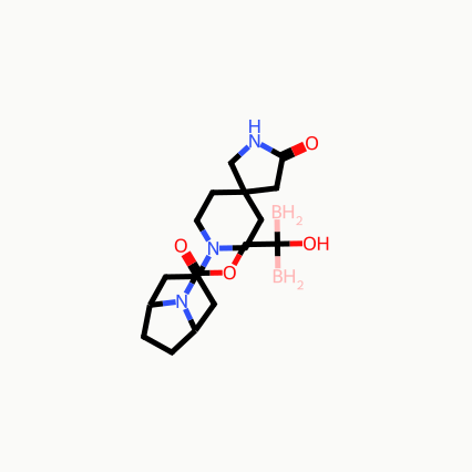 BC(B)(O)COC(=O)N1C2CCC1CC(N1CCC3(CC1)CNC(=O)C3)C2